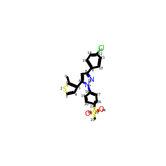 Cc1sccc1-c1cc(-c2ccc(Cl)cc2)nn1-c1ccc(S(C)(=O)=O)cc1